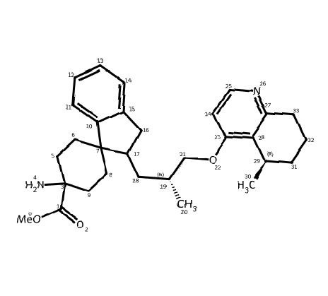 COC(=O)C1(N)CCC2(CC1)c1ccccc1CC2C[C@@H](C)COc1ccnc2c1[C@H](C)CCC2